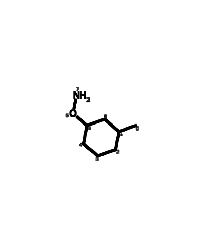 CC1CCCC(ON)C1